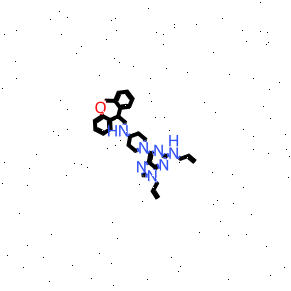 C=CCNc1nc(N2CCC(NCC3c4ccccc4COc4ccccc43)CC2)c2ncn(CC=C)c2n1